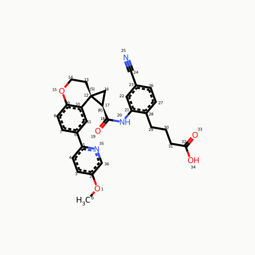 COc1ccc(-c2ccc3c(c2)[C@]2(CCO3)C[C@H]2C(=O)Nc2cc(C#N)ccc2CCCC(=O)O)nc1